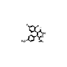 Cc1ccc(-c2c(C)n[nH]c(=O)c2-c2c(F)cc(F)cc2F)cc1